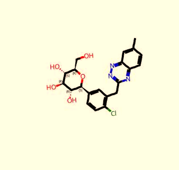 Cc1ccc2nc(Cc3cc([C@@H]4O[C@H](CO)[C@@H](O)[C@H](O)[C@H]4O)ccc3Cl)nnc2c1